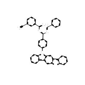 N#Cc1cccc(C(=N)/N=C(\N=C\c2ccccc2)c2ccc(-n3c4ccccc4c4cc5oc6ccccc6c5cc43)cc2)c1